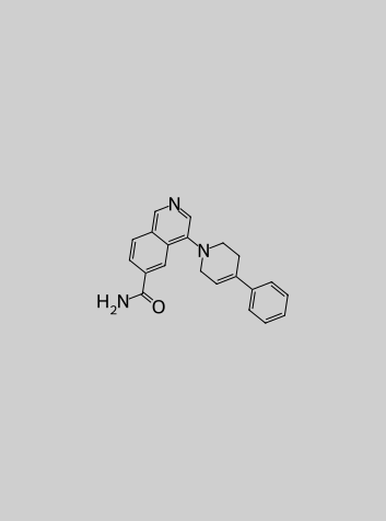 NC(=O)c1ccc2cncc(N3CC=C(c4ccccc4)CC3)c2c1